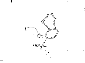 O=C(O)c1ccc2ccccc2c1OCI